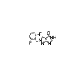 O=c1[nH]cnc2nn(Cc3c(F)cccc3F)cc12